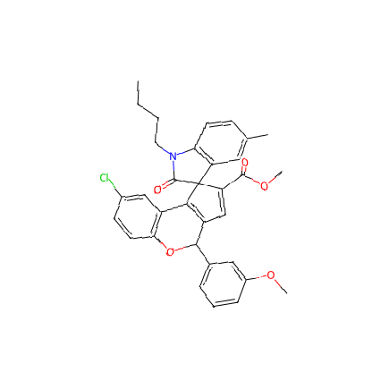 CCCCN1C(=O)C2(C(C(=O)OC)=CC3=C2c2cc(Cl)ccc2OC3c2cccc(OC)c2)c2cc(C)ccc21